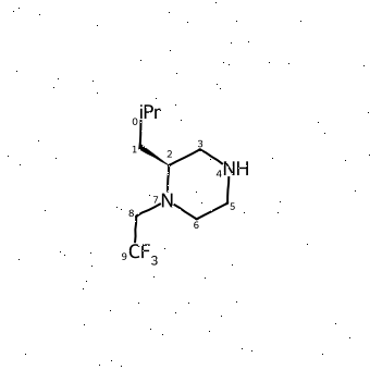 CC(C)C[C@H]1CNCCN1CC(F)(F)F